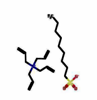 C=CC[N+](CC=C)(CC=C)CC=C.O=S(=O)([O-])CCCCCCCCC(F)(F)F